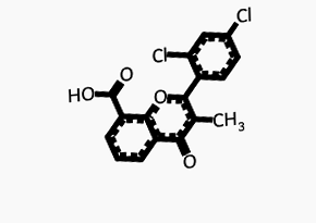 Cc1c(-c2ccc(Cl)cc2Cl)oc2c(C(=O)O)cccc2c1=O